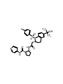 O=C(C[C@@H]1CCc2cc(C(O)(C(F)(F)F)C(F)(F)F)ccc2N1S(=O)(=O)c1ccc(F)cc1)N[C@H]1CCC[C@H]1C(=O)Nc1ccncc1